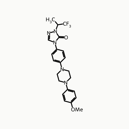 COc1ccc(N2CCN(c3ccc(-n4cnn(C(C)C(F)(F)F)c4=O)cc3)CC2)cc1